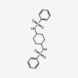 O=S(=O)(NC1CCC(NS(=O)(=O)c2ccccc2)CC1)c1ccccc1